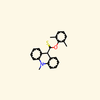 Cc1cccc(C)c1OC(=S)C1c2ccccc2N(C)c2ccccc21